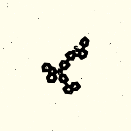 c1ccc(-c2cccc3c2sc2ccc(-c4ccc(N(c5ccc(-c6cccc7ccccc67)cc5)c5cc6ccccc6c6ccccc56)cc4)cc23)cc1